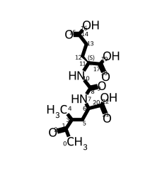 CC(=O)C(C)CC(NC(=O)N[C@@H](CCC(=O)O)C(=O)O)C(=O)O